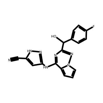 N#Cc1cc(Nc2nc(C(O)c3ccc(F)cc3)nn3cccc23)n[nH]1